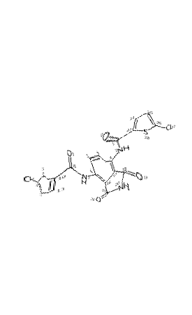 O=C(Nc1ccc(NC(=O)c2ccc(Cl)s2)c2c1C(=O)NC2=O)c1ccc(Cl)s1